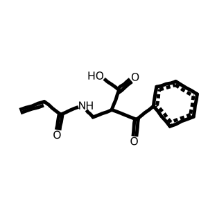 C=CC(=O)NCC(C(=O)O)C(=O)c1ccccc1